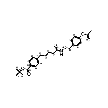 CC(=O)Oc1ccc(CONC(=O)CCCCc2ccc(C(=O)OC(C)(C)C)cc2)cc1